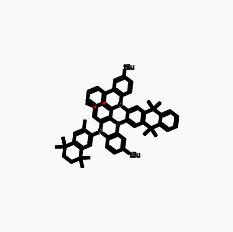 Cc1cc2c3c(c1)N(c1ccc(C(C)(C)C)cc1-c1ccccc1)c1cc4c(cc1B3c1cc(C(C)(C)C)ccc1N2c1cc2c(cc1C)C(C)(C)CCC2(C)C)C(C)(C)c1ccccc1C4(C)C